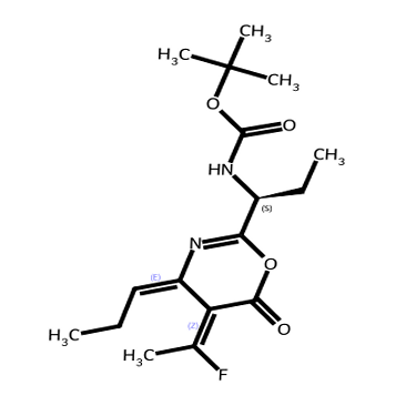 CC/C=c1/nc([C@H](CC)NC(=O)OC(C)(C)C)oc(=O)/c1=C(/C)F